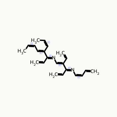 C=C\C=C/N=C(C=C)/C(C=C)=C/N=C(\C=C)C(=C/C=C\C)/C=C\C